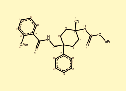 CCCOC(=O)N[C@]1(C#N)CC[C@](CNC(=O)c2ccccc2OC)(c2ccccc2)CC1